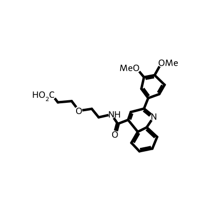 COc1ccc(-c2cc(C(=O)NCCOCCC(=O)O)c3ccccc3n2)cc1OC